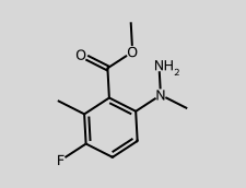 COC(=O)c1c(N(C)N)ccc(F)c1C